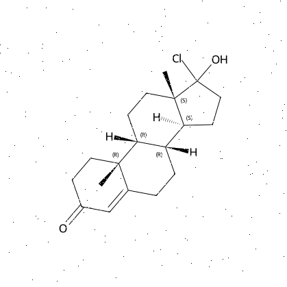 C[C@]12CCC(=O)C=C1CC[C@@H]1[C@H]2CC[C@@]2(C)[C@H]1CCC2(O)Cl